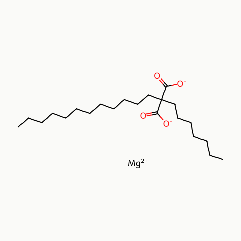 CCCCCCCCCCCCC(CCCCCCC)(C(=O)[O-])C(=O)[O-].[Mg+2]